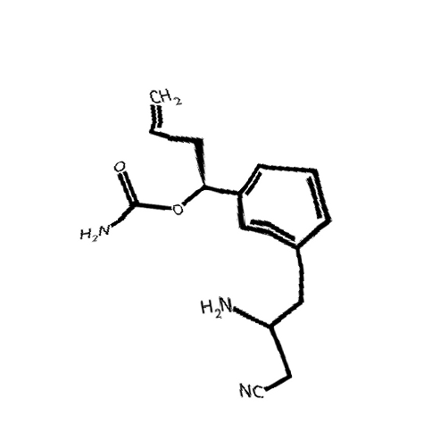 C=CC[C@H](OC(N)=O)c1cccc(CC(N)CC#N)c1